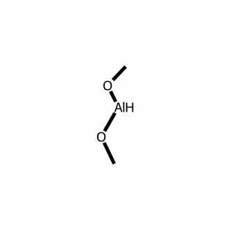 C[O][AlH][O]C